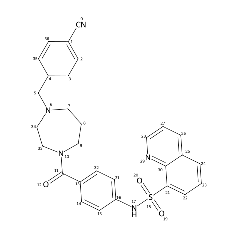 N#CC1=CCC(CN2CCCN(C(=O)c3ccc(NS(=O)(=O)c4cccc5cccnc45)cc3)CC2)C=C1